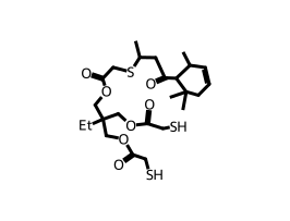 CCC(COC(=O)CS)(COC(=O)CS)COC(=O)CSC(C)CC(=O)C1C(C)C=CCC1(C)C